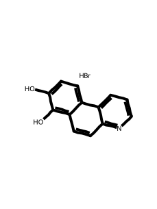 Br.Oc1ccc2c(ccc3ncccc32)c1O